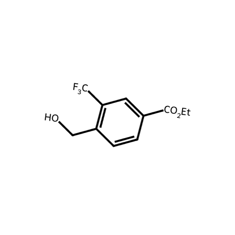 CCOC(=O)c1ccc(CO)c(C(F)(F)F)c1